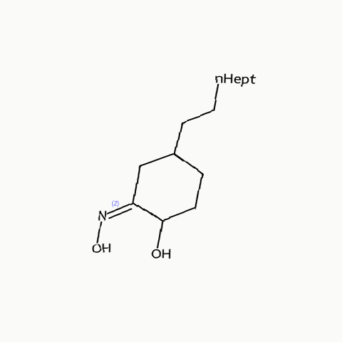 CCCCCCCCCC1CCC(O)/C(=N\O)C1